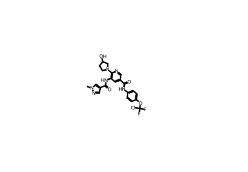 Cn1cc(C(=O)Nc2cc(C(=O)Nc3ccc(OC(F)(F)Cl)cc3)cnc2N2CCC(O)C2)cn1